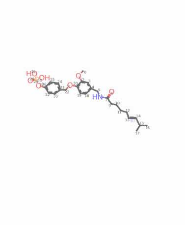 COc1cc(CNC(=O)CCCC/C=C/C(C)C)ccc1OCc1ccc(OP(=O)(O)O)cc1